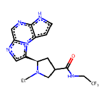 CCN1CC(C(=O)NCC(F)(F)F)C[C@@H]1c1cnc2cnc3[nH]ccc3n12